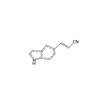 N#CC=Cc1ccc2[nH]ccc2c1